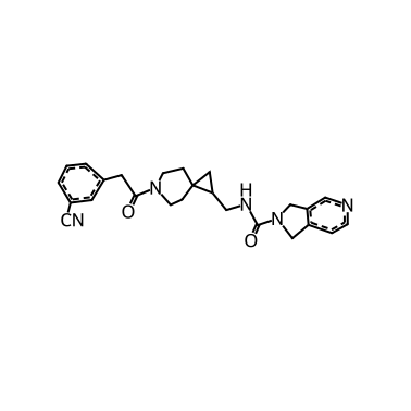 N#Cc1cccc(CC(=O)N2CCC3(CC2)CC3CNC(=O)N2Cc3ccncc3C2)c1